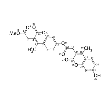 COC(=O)Cc1c(C)c2ccc(OC(=O)Cc3c(C)c4ccc(O)cc4oc3=O)cc2oc1=O